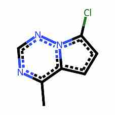 Cc1ncnn2c(Cl)ccc12